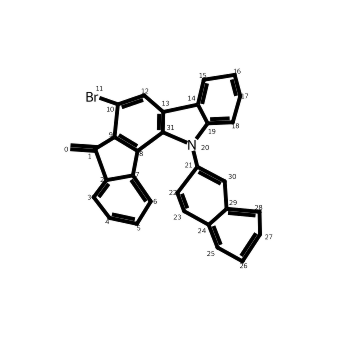 C=C1c2ccccc2-c2c1c(Br)cc1c3ccccc3n(-c3ccc4ccccc4c3)c21